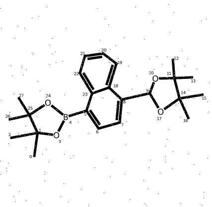 CC1(C)OB(c2ccc(C3OC(C)(C)C(C)(C)O3)c3ccccc23)OC1(C)C